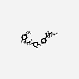 CCCNc1ncc(-c2ccc(Oc3ccc(NC(=O)Nc4cc(C(F)(F)F)ccc4F)cn3)cc2)s1